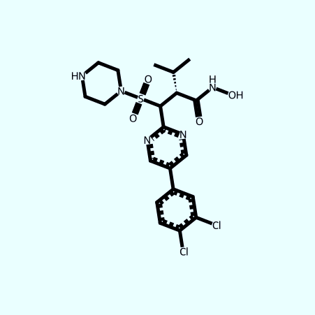 CC(C)[C@H](C(=O)NO)C(c1ncc(-c2ccc(Cl)c(Cl)c2)cn1)S(=O)(=O)N1CCNCC1